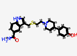 NC(=O)c1ccc2[nH]cc(CSCCN3CC=C(c4ccc(O)cc4)CC3)c2c1